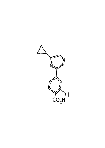 O=C(O)c1ccc(-c2cccc(C3CC3)n2)cc1Cl